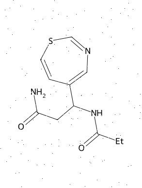 CCC(=O)NC(CC(N)=O)C1=CN=CSC=C1